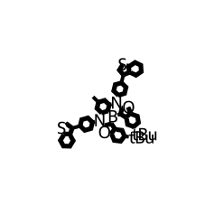 Cc1cc2c3c(c1)N(c1ccc(-c4csc5ccccc45)cc1)c1oc4ccc(C(C)(C)C)cc4c1B3c1c(oc3ccc(C(C)(C)C)cc13)N2c1ccc(-c2csc3ccccc23)cc1